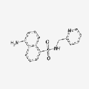 Nc1cccc2c(S(=O)(=O)NCc3ccccn3)cccc12